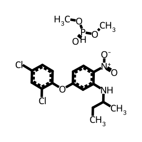 CCC(C)Nc1cc(Oc2ccc(Cl)cc2Cl)ccc1[N+](=O)[O-].CO[PH](=O)OC